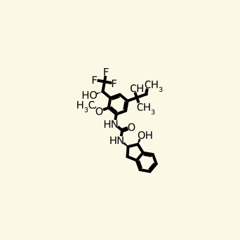 CCC(C)(C)c1cc(NC(=O)N[C@@H]2Cc3ccccc3[C@@H]2O)c(OC)c([C@H](O)C(F)(F)F)c1